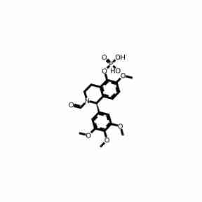 COc1cc([C@@H]2c3ccc(OC)c(OP(=O)(O)O)c3CCN2C=O)cc(OC)c1OC